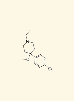 CCN1CCC(OC)(c2ccc(Cl)cc2)CC1